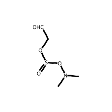 CN(C)OS(=O)OCC=O